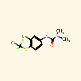 CN(C)C(=O)Nc1ccc(SC(F)(F)Cl)c(Cl)c1